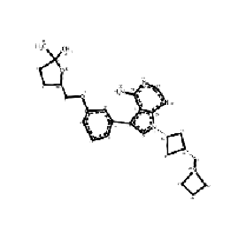 CC1(C)CC[C@H](COc2cccc(-c3cn([C@H]4C[C@@H](CN5CCC5)C4)c4ncnc(N)c34)c2)O1